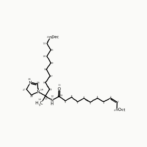 CCCCCCCC/C=C\CCCCCCCC(=O)NC(C)(CCCCCCCCCCCCCCCCCC)N1C=NCC1